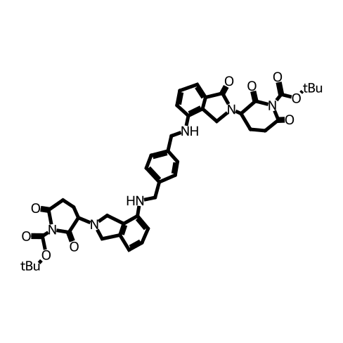 CC(C)(C)OC(=O)N1C(=O)CCC(N2Cc3cccc(NCc4ccc(CNc5cccc6c5CN(C5CCC(=O)N(C(=O)OC(C)(C)C)C5=O)C6=O)cc4)c3C2)C1=O